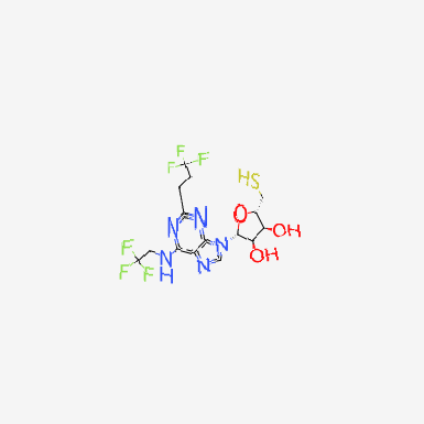 O[C@@H]1[C@H](O)[C@@H](CS)O[C@H]1n1cnc2c(NCC(F)(F)F)nc(CCC(F)(F)F)nc21